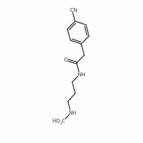 N#Cc1ccc(CC(=O)NCCCNC(=O)O)cc1